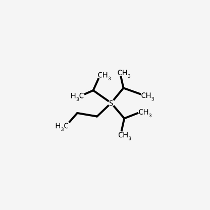 CCCS(C(C)C)(C(C)C)C(C)C